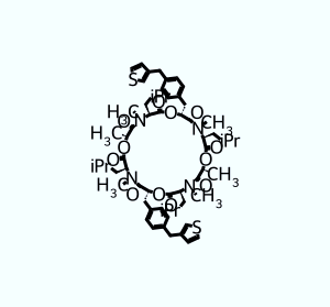 CC(C)C[C@H]1C(=O)O[C@H](Cc2ccc(Cc3ccsc3)cc2)C(=O)N(C)[C@@H](CC(C)C)C(=O)O[C@H](C)C(=O)N(C)[C@@H](CC(C)C)C(=O)O[C@H](Cc2ccc(Cc3ccsc3)cc2)C(=O)N(C)[C@@H](CC(C)C)C(=O)O[C@H](C)C(=O)N1C